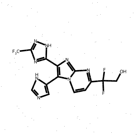 OCC(F)(F)c1ccn2c(-c3cnc[nH]3)c(-c3nc(C(F)(F)F)n[nH]3)nc2n1